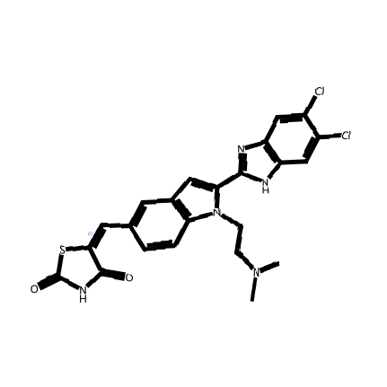 CN(C)CCn1c(-c2nc3cc(Cl)c(Cl)cc3[nH]2)cc2cc(/C=C3/SC(=O)NC3=O)ccc21